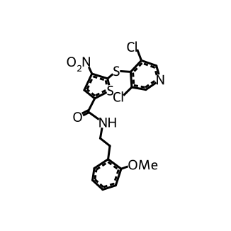 COc1ccccc1CCNC(=O)c1cc([N+](=O)[O-])c(Sc2c(Cl)cncc2Cl)s1